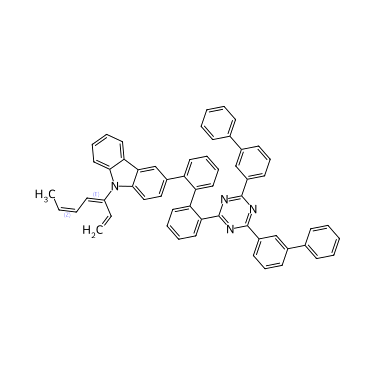 C=C/C(=C\C=C/C)n1c2ccccc2c2cc(-c3ccccc3-c3ccccc3-c3nc(-c4cccc(-c5ccccc5)c4)nc(-c4cccc(-c5ccccc5)c4)n3)ccc21